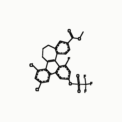 COC(=O)c1ccc2c(c1)CCCC(c1ccc(Cl)cc1Cl)=C2c1c(F)cc(OS(=O)(=O)C(F)(F)F)cc1F